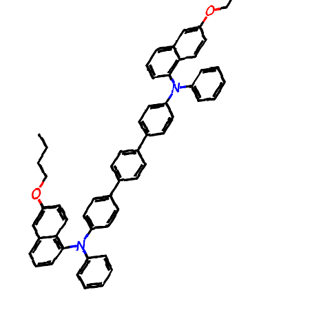 CCCCOc1ccc2c(N(c3ccccc3)c3ccc(-c4ccc(-c5ccc(N(c6ccccc6)c6cccc7cc(OCCCC)ccc67)cc5)cc4)cc3)cccc2c1